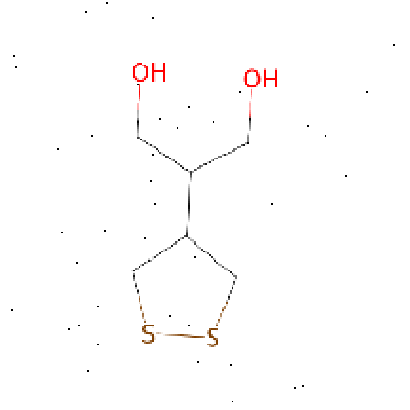 OCC(CO)C1CSSC1